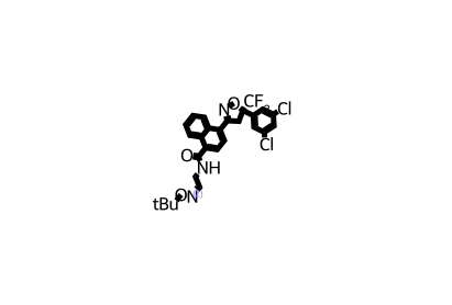 CC(C)(C)O/N=C\CNC(=O)c1ccc(C2=NOC(c3cc(Cl)cc(Cl)c3)(C(F)(F)F)C2)c2ccccc12